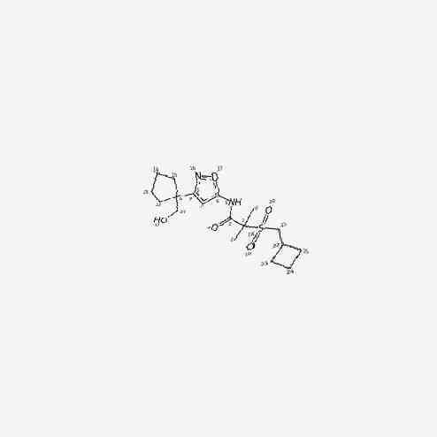 CC(C)(C(=O)Nc1cc(C2(CO)CCCC2)no1)S(=O)(=O)CC1CCC1